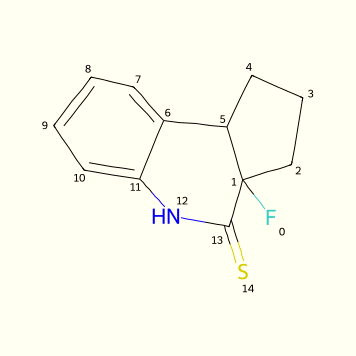 FC12CCCC1c1ccccc1NC2=S